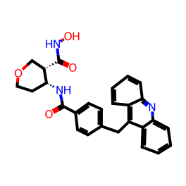 O=C(N[C@@H]1CCOC[C@@H]1C(=O)NO)c1ccc(Cc2c3ccccc3nc3ccccc23)cc1